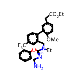 CCOC(=O)Cc1ccc(OC)c(-c2ccc(C(F)(F)F)cc2CN(CC)/C(=N/CN)Oc2ccccc2)c1